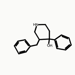 OC1(c2ccccc2)CCNCC1Cc1ccccc1